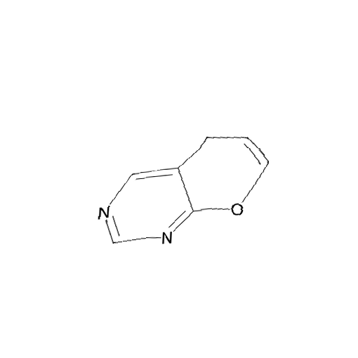 C1=COc2ncncc2C1